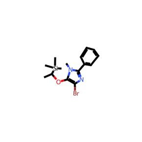 CC(Oc1c(Br)nc(-c2ccccc2)n1C)[Si](C)(C)C